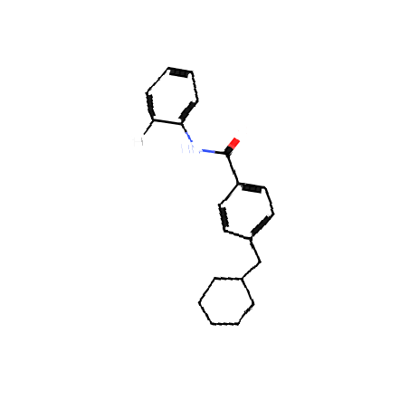 [3H]c1ccccc1NC(=O)c1ccc(CC2CCCCC2)cc1